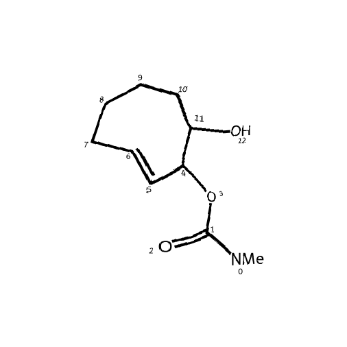 CNC(=O)OC1/C=C/CCCCC1O